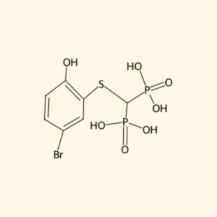 O=P(O)(O)C(Sc1cc(Br)ccc1O)P(=O)(O)O